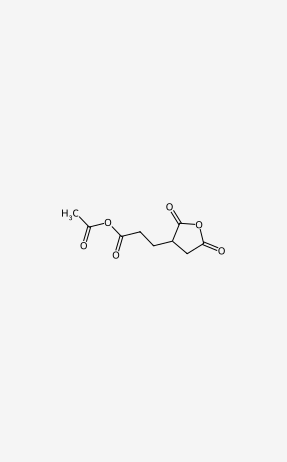 CC(=O)OC(=O)CCC1CC(=O)OC1=O